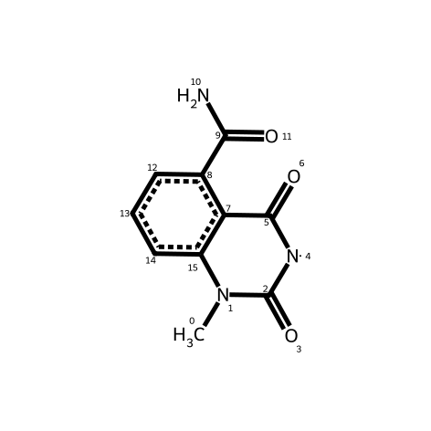 CN1C(=O)[N]C(=O)c2c(C(N)=O)cccc21